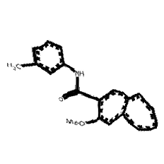 COc1cc2ccccc2cc1C(=O)Nc1cccc(C)c1